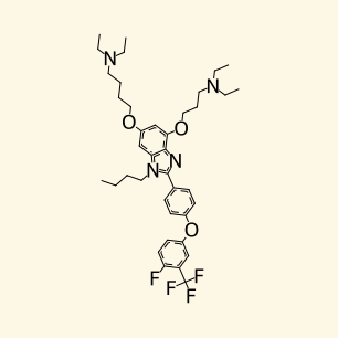 CCCCn1c(-c2ccc(Oc3ccc(F)c(C(F)(F)F)c3)cc2)nc2c(OCCCN(CC)CC)cc(OCCCCN(CC)CC)cc21